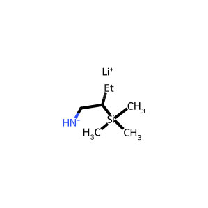 CCC(C[NH-])[Si](C)(C)C.[Li+]